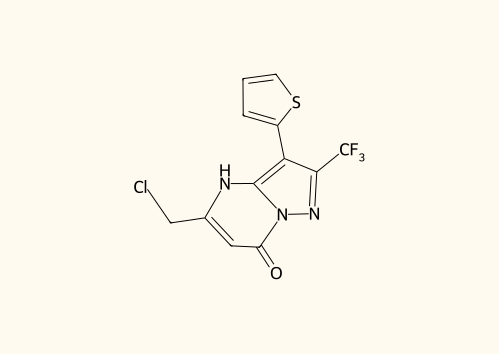 O=c1cc(CCl)[nH]c2c(-c3cccs3)c(C(F)(F)F)nn12